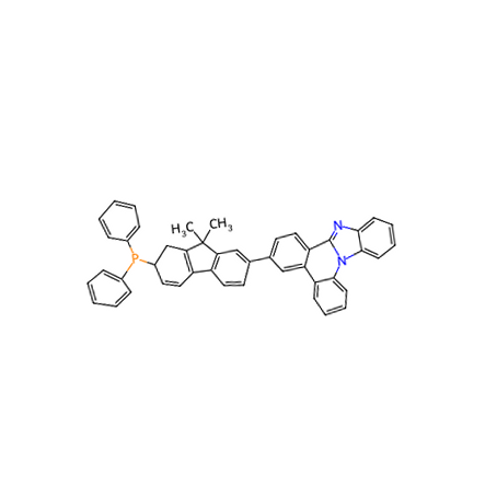 CC1(C)C2=C(C=CC(P(c3ccccc3)c3ccccc3)C2)c2ccc(-c3ccc4c(c3)c3ccccc3n3c5ccccc5nc43)cc21